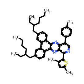 CCCCC(CC)Cc1ccc2c(c1)c1cc(CC(CC)CCCC)ccc1c1nc3c(-c4sc(C)cc4C)ncc(-c4ccc(C)cc4)c3nc21